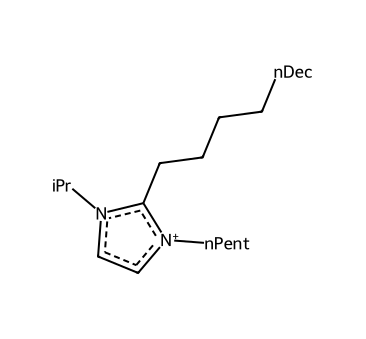 CCCCCCCCCCCCCCc1n(C(C)C)cc[n+]1CCCCC